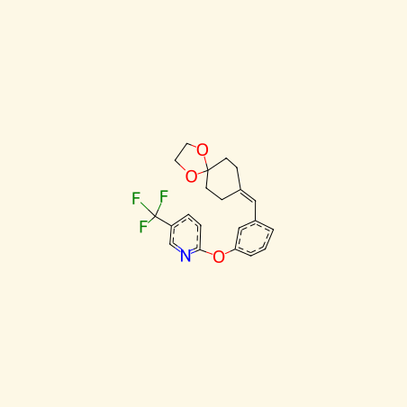 FC(F)(F)c1ccc(Oc2cccc(C=C3CCC4(CC3)OCCO4)c2)nc1